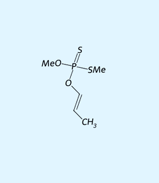 CC=COP(=S)(OC)SC